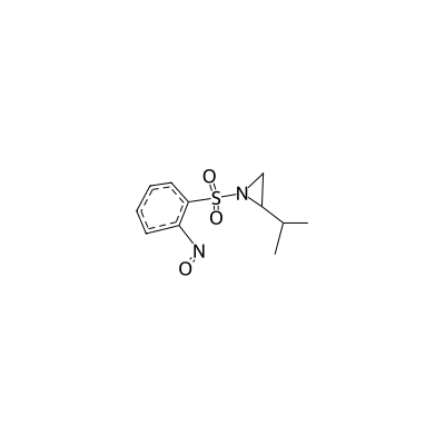 CC(C)C1CN1S(=O)(=O)c1ccccc1N=O